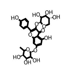 CC1O[C@@H](Oc2cc(O)c3c(=O)c(O[C@@H]4OC[C@@H](O)C(O)C4O)c(-c4ccc(O)cc4)oc3c2)C(O)[C@@H](O)[C@H]1O